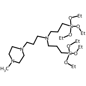 CCO[Si](CCCN(CCCN1CCN(C)CC1)CCC[Si](OCC)(OCC)OCC)(OCC)OCC